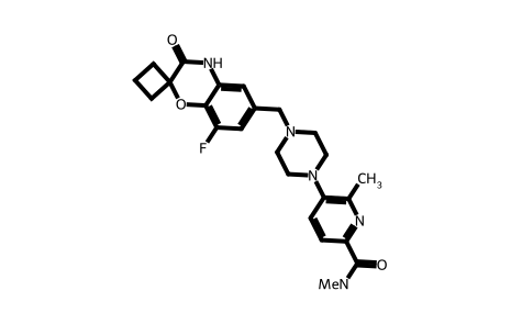 CNC(=O)c1ccc(N2CCN(Cc3cc(F)c4c(c3)NC(=O)C3(CCC3)O4)CC2)c(C)n1